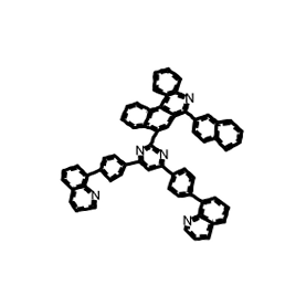 c1ccc2cc(-c3nc4ccccc4c4c3cc(-c3nc(-c5ccc(-c6cccc7cccnc67)cc5)cc(-c5ccc(-c6cccc7cccnc67)cc5)n3)c3ccccc34)ccc2c1